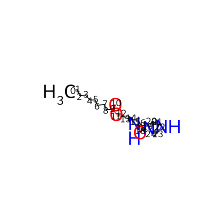 CCCCCCCCCC(=O)OCCCNCC(=O)N1CCNCC1